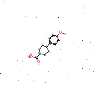 COc1ccc(C2CCC(C(=O)O)CC2)cc1